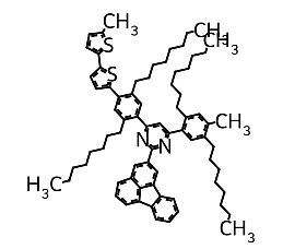 CCCCCCCCc1cc(-c2cc(-c3cc(CCCCCCCC)c(-c4ccc(-c5ccc(C)s5)s4)cc3CCCCCCCC)nc(-c3cc4c5c(cccc5c3)-c3ccccc3-4)n2)c(CCCCCCCC)cc1C